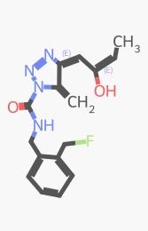 C=c1/c(=C\C(O)=C/C)nnn1C(=O)NCc1ccccc1CF